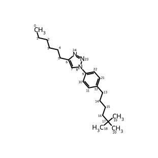 CCCCCCc1cn(-c2ccc(CCCCC(C)(C)C)cc2)nn1